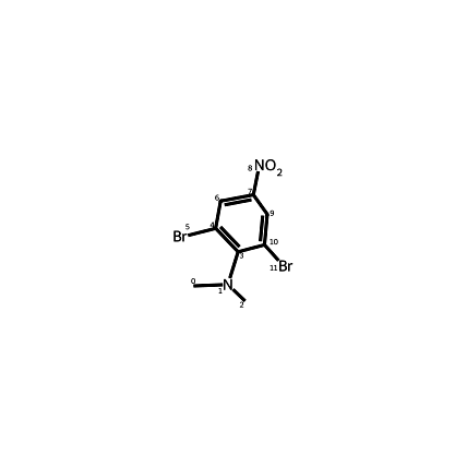 CN(C)c1c(Br)cc([N+](=O)[O-])cc1Br